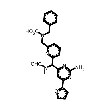 Nc1nc(-c2ccco2)cc(C(NC=O)c2cccc(CN(Cc3ccccc3)C(=O)O)n2)n1